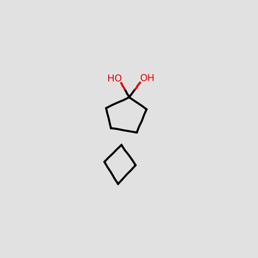 C1CCC1.OC1(O)CCCC1